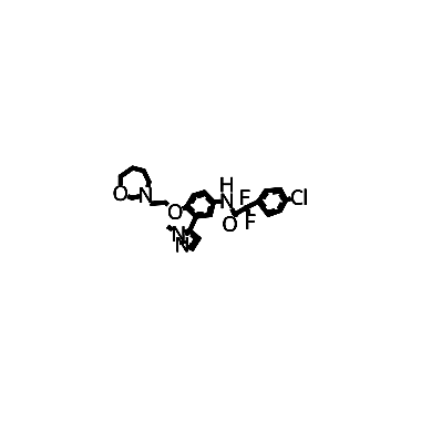 Cn1nccc1-c1cc(NC(=O)C(F)(F)c2ccc(Cl)cc2)ccc1OCCN1CCCCOC1